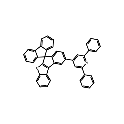 c1ccc(-c2cc(-c3ccc4c(c3)-c3c(oc5ccccc35)C43c4ccccc4-c4ccccc43)cc(-c3ccccc3)n2)cc1